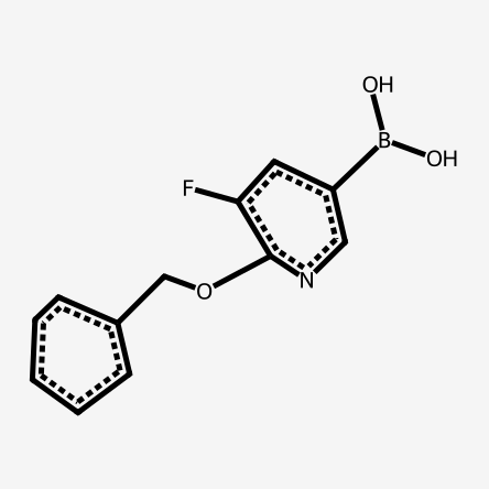 OB(O)c1cnc(OCc2ccccc2)c(F)c1